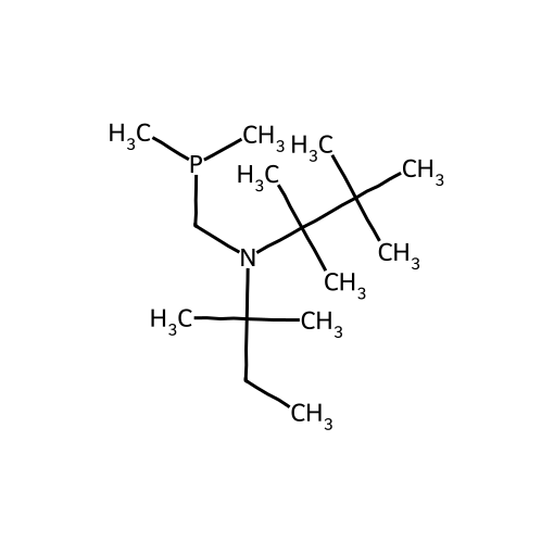 CCC(C)(C)N(CP(C)C)C(C)(C)C(C)(C)C